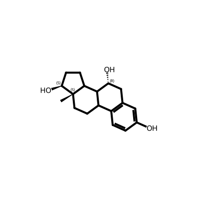 C[C@]12CCC3c4ccc(O)cc4C[C@@H](O)C3C1CC[C@@H]2O